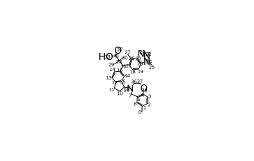 Cc1ccc2c(c1)CN(C1CCc3ccc(C(c4ccc5c(nnn5C)c4C)C(C)(C)C(=O)O)cc31)CCO2